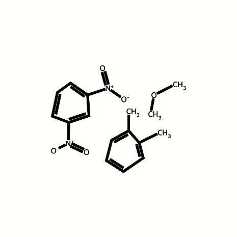 COC.Cc1ccccc1C.O=[N+]([O-])c1cccc([N+](=O)[O-])c1